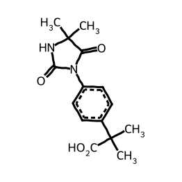 CC1(C)NC(=O)N(c2ccc(C(C)(C)C(=O)O)cc2)C1=O